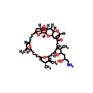 C=C1C[C@@H]2CCC34C[C@H]5O[C@@H]6[C@@H](OC7CC[C@H](CC(=O)C[C@@H]8[C@@H](C)[C@@H](C[C@H](O)CN)O[C@H]8C[C@H]8O[C@@H](CC[C@@H]1O2)C[C@@H](C)C8=C)O[C@@H]7[C@@H]6O3)[C@H]5O4